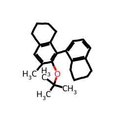 Cc1cc2c(c(-c3cccc4c3CCCC4)c1OC(C)(C)C)CCCC2